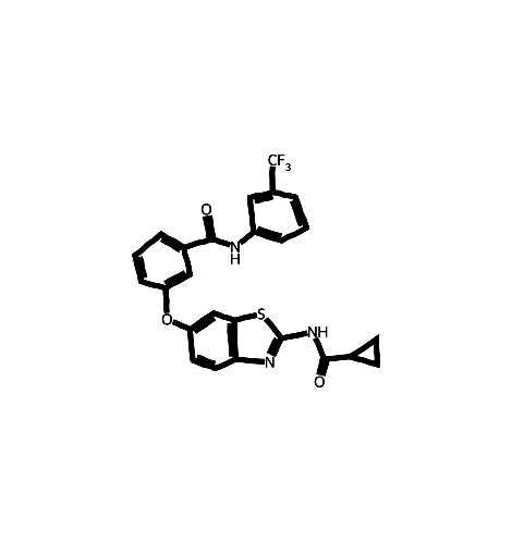 O=C(Nc1cccc(C(F)(F)F)c1)c1cccc(Oc2ccc3nc(NC(=O)C4CC4)sc3c2)c1